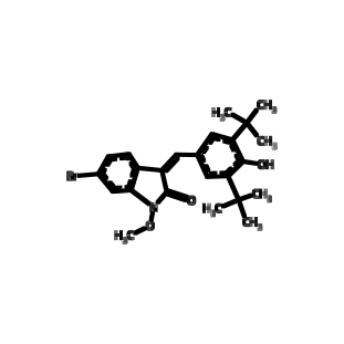 CON1C(=O)C(=Cc2cc(C(C)(C)C)c(O)c(C(C)(C)C)c2)c2ccc(Br)cc21